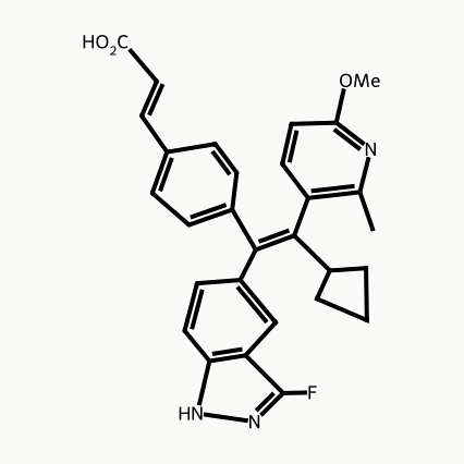 COc1ccc(C(=C(c2ccc(C=CC(=O)O)cc2)c2ccc3[nH]nc(F)c3c2)C2CCC2)c(C)n1